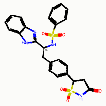 O=C1CC(c2ccc(C[C@H](NS(=O)(=O)c3ccccc3)c3nc4ccccc4[nH]3)cc2)S(=O)(=O)N1